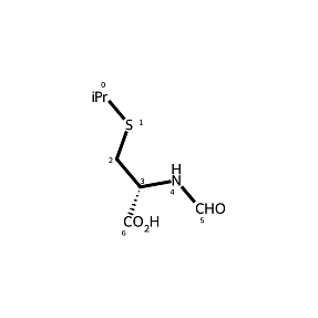 CC(C)SC[C@H](NC=O)C(=O)O